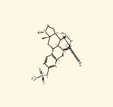 C[C@]12CC3c4ccc(OS(=O)(=O)C(F)(F)F)cc4C[C@]45CCC(=O)C=C4CC[C@H](C35)[C@@H]1CC[C@@H]2O